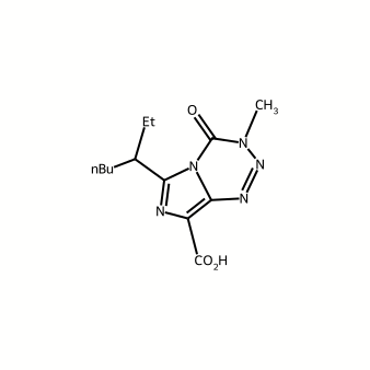 CCCCC(CC)c1nc(C(=O)O)c2nnn(C)c(=O)n12